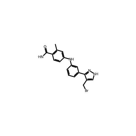 Cc1cc(Nc2cccc(-c3n[nH]cc3CBr)c2)ccc1C([NH])=O